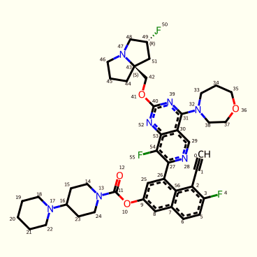 C#Cc1c(F)ccc2cc(OC(=O)N3CCC(N4CCCCC4)CC3)cc(-c3ncc4c(N5CCCOCC5)nc(OC[C@@]56CCCN5C[C@H](F)C6)nc4c3F)c12